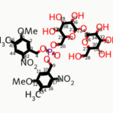 COc1cc(COP(=O)(OCc2cc(OC)c(C)cc2[N+](=O)[O-])OCC2O[C@H](O[C@H]3OC(CO)[C@@H](O)C(O)C3O)C(O)[C@@H](O)[C@@H]2O)c([N+](=O)[O-])cc1C